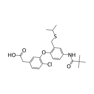 CC(C)SCc1cc(NC(=O)C(C)(C)C)ccc1Oc1cc(CC(=O)O)ccc1Cl